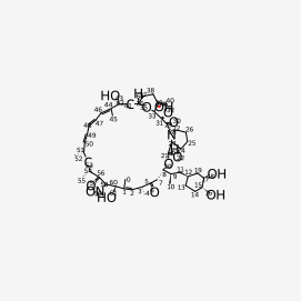 C/C1=C\[C@@H](C)C(=O)C[C@@H]([C@H](C)C[C@@H]2CC[C@@H](O)[C@H](O)C2)OC(=O)[C@@H]2CCCCN2C(=O)C(=O)[C@]2(O)O[C@@H](CC[C@H]2C)C[C@H](O)/C(C)=C/C=C/C=C/[C@@H](C)C[C@@H](C)C(=O)[C@H](N=O)[C@@H]1O